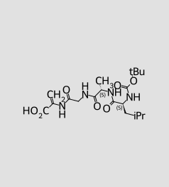 C=C(NC(=O)CNC(=O)[C@H](C)NC(=O)[C@H](CC(C)C)NC(=O)OC(C)(C)C)C(=O)O